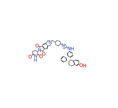 O=C1CCC(N2C(=O)c3cc4c(cc3C2=O)CN(CC2CCC(N3CC(Nc5ccc([C@@H]6c7ccc(O)cc7CC[C@@H]6c6ccccc6)cc5)C3)CC2)C4)C(=O)N1